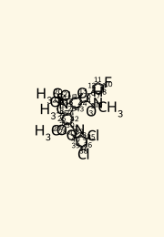 CNC(=O)c1c(-c2ccc(F)cc2)oc2cc(N(C)S(C)(=O)=O)c(-c3ccc(OC)c(-c4nc5c(Cl)cc(Cl)cc5o4)c3)cc12